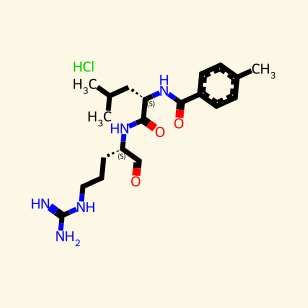 Cc1ccc(C(=O)N[C@@H](CC(C)C)C(=O)N[C@H](C=O)CCCNC(=N)N)cc1.Cl